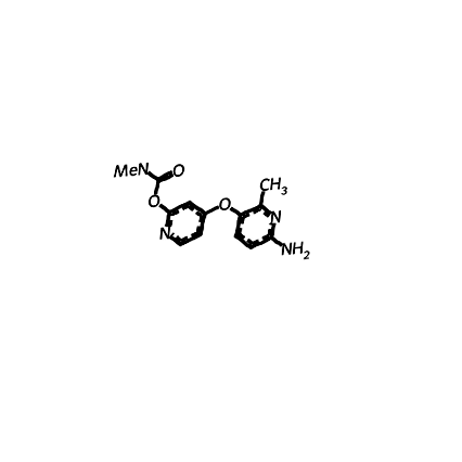 CNC(=O)Oc1cc(Oc2ccc(N)nc2C)ccn1